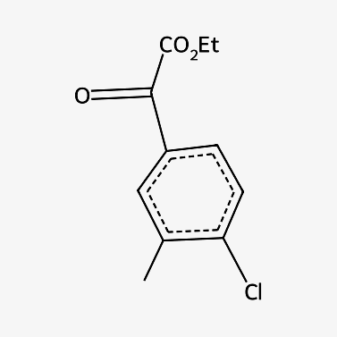 CCOC(=O)C(=O)c1ccc(Cl)c(C)c1